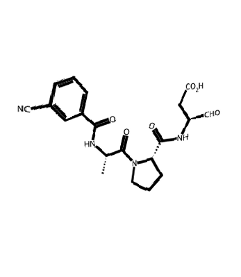 C[C@H](NC(=O)c1cccc(C#N)c1)C(=O)N1CCC[C@H]1C(=O)N[C@H](C=O)CC(=O)O